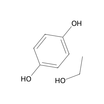 CCO.Oc1ccc(O)cc1